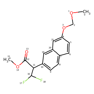 COCOc1ccc2ccc(C(C(=O)OC)C(F)F)cc2c1